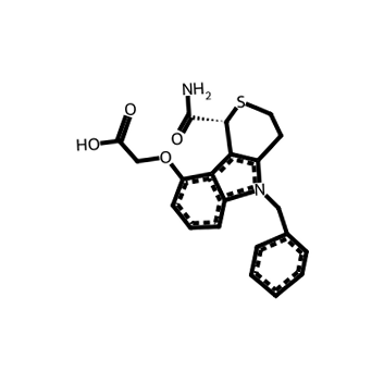 NC(=O)[C@@H]1SCCc2c1c1c(OCC(=O)O)cccc1n2Cc1ccccc1